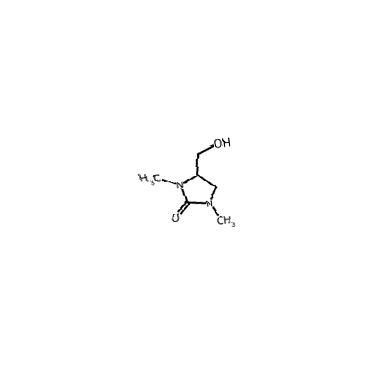 CN1CC(CO)N(C)C1=O